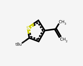 C=C(C)c1csc(C(C)(C)C)c1